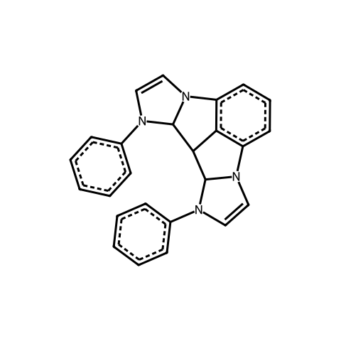 C1=CN2c3cccc4c3C(C2N1c1ccccc1)C1N(c2ccccc2)C=CN41